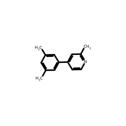 Cc1cc(C)cc(-c2ccnc(C)c2)c1